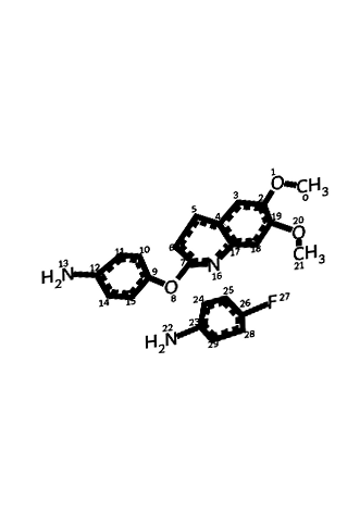 COc1cc2ccc(Oc3ccc(N)cc3)nc2cc1OC.Nc1ccc(F)cc1